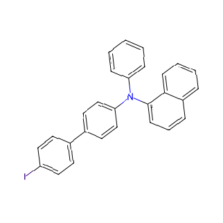 Ic1ccc(-c2ccc(N(c3ccccc3)c3cccc4ccccc34)cc2)cc1